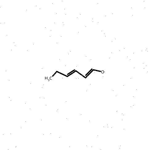 CCC=CC=C[O]